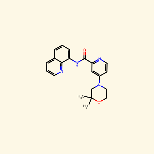 CC1(C)CN(c2ccnc(C(=O)Nc3cccc4cccnc34)c2)CCO1